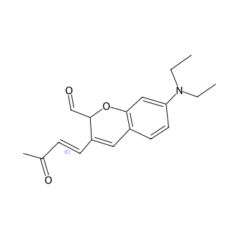 CCN(CC)c1ccc2c(c1)OC(C=O)C(/C=C/C(C)=O)=C2